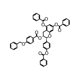 O=C(Oc1ccc([C@@H]2Oc3cc(OC(=O)c4ccccc4)cc(OC(=O)c4ccccc4)c3C[C@H]2OC(=O)c2ccc(OCc3ccccc3)cc2)cc1)c1ccccc1